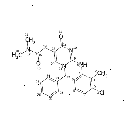 Cc1c(Cl)cccc1Nc1nc(=O)c(CC(=O)N(C)C)cn1Cc1ccccc1